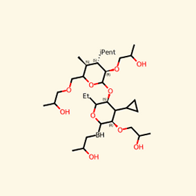 CCCC(C)[C@H]1[C@H](C)C(COCC(C)O)OC(O[C@@H]2C(CC)OC(BCC(C)O)[C@H](OCC(C)O)C2C2CC2)[C@@H]1OCC(C)O